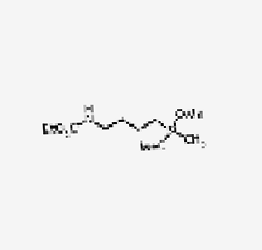 CCOC(=O)NCCCC[Si](C)(OC)OC